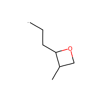 [CH2]CCC1OCC1C